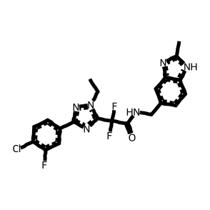 CCn1nc(-c2ccc(Cl)c(F)c2)nc1C(F)(F)C(=O)NCc1ccc2[nH]c(C)nc2c1